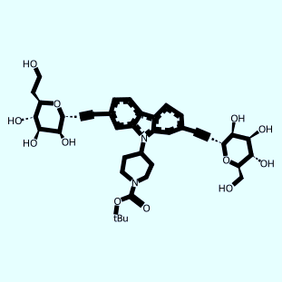 CC(C)(C)OC(=O)N1CCC(n2c3cc(C#C[C@H]4O[C@H](CO)[C@@H](O)[C@H](O)[C@@H]4O)ccc3c3ccc(C#C[C@H]4O[C@H](CCO)[C@@H](O)[C@H](O)[C@@H]4O)cc32)CC1